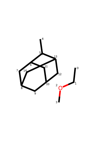 C[CH]OC.C[C]1C2CC3CC(C2)CC1C3